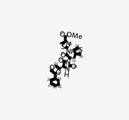 COC(=O)c1csc(NC(=O)[C@H](Cc2ccsc2)N2C(=O)N[C@H](C3=COC=C(C4=CC=CCC4)O3)C2=O)n1